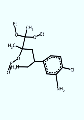 CCOC(C)(OCC)C(C)(CC(CN)c1ccc(Cl)c(N)c1)OP=O